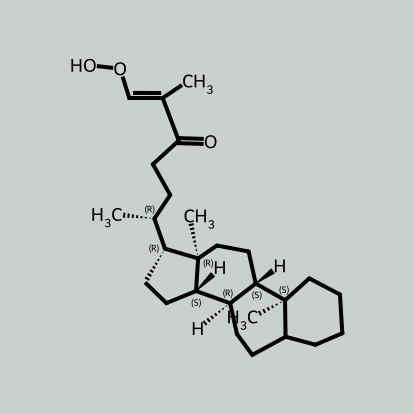 CC(=COO)C(=O)CC[C@@H](C)[C@H]1CC[C@H]2[C@@H]3CCC4CCCC[C@]4(C)[C@H]3CC[C@]12C